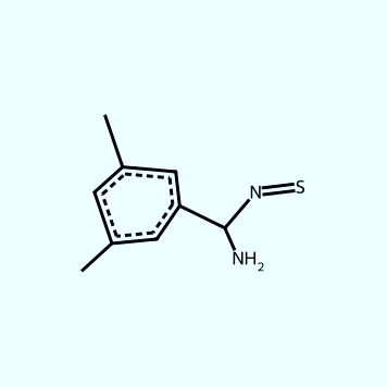 Cc1cc(C)cc(C(N)N=S)c1